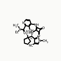 CCN(C)C(=O)c1nccc(Nc2c(N[C@@H](c3nn(C)cc3C#N)C3(C)CCCC3)c(=O)c2=O)c1O